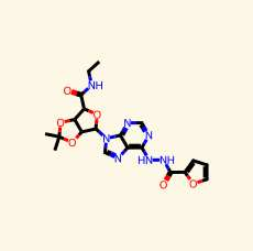 CCNC(=O)C1OC(n2cnc3c(NNC(=O)c4ccco4)ncnc32)C2OC(C)(C)OC12